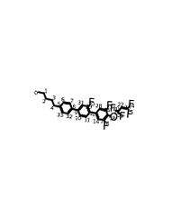 CCCCCc1ccc(-c2ccc(-c3cc(F)c(OC(F)(F)C=C(F)F)c(F)c3)c(F)c2)cc1